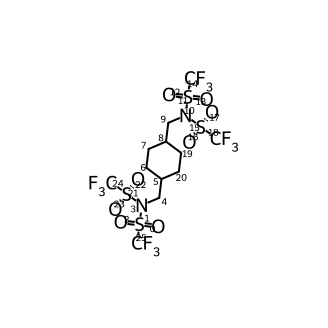 O=S(=O)(N(CC1CCC(CN(S(=O)(=O)C(F)(F)F)S(=O)(=O)C(F)(F)F)CC1)S(=O)(=O)C(F)(F)F)C(F)(F)F